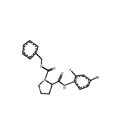 O=C(Nc1ccc(Br)cc1F)C1CCCN1C(=O)OCc1ccccc1